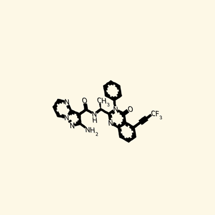 C[C@H](NC(=O)c1c(N)nn2cccnc12)c1nc2cccc(C#CC(F)(F)F)c2c(=O)n1-c1ccccc1